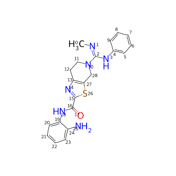 C/N=C(/Nc1ccccc1)N1CCc2nc(C(=O)Nc3ccccc3N)sc2C1